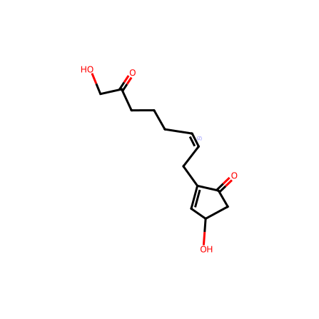 O=C(CO)CCC/C=C\CC1=CC(O)CC1=O